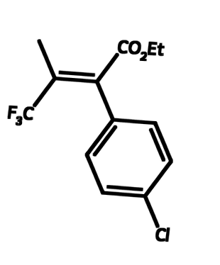 CCOC(=O)/C(=C(\C)C(F)(F)F)c1ccc(Cl)cc1